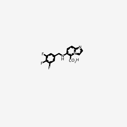 O=C(O)c1c(NCc2cc(F)c(F)c(F)c2)ccc2nccn12